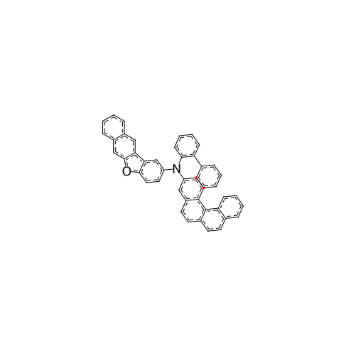 c1ccc(-c2ccccc2N(c2ccc3c(ccc4ccc5ccccc5c43)c2)c2ccc3oc4cc5ccccc5cc4c3c2)cc1